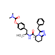 CN(C)C(=O)Oc1ccc(CC(NC(=O)[C@@H]2CCCc3nnc(Cc4ccccc4)n32)C(=O)O)cc1